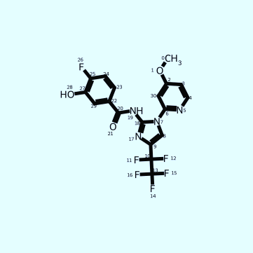 COc1ccnc(-n2cc(C(F)(F)C(F)(F)F)nc2NC(=O)c2ccc(F)c(O)c2)c1